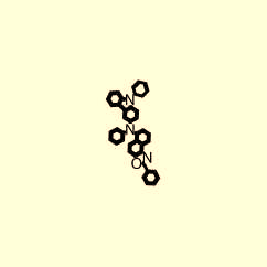 C1=CCC(n2c3ccccc3c3cc(N(c4ccccc4)c4cccc5c4ccc4oc(-c6ccccc6)nc45)ccc32)C=C1